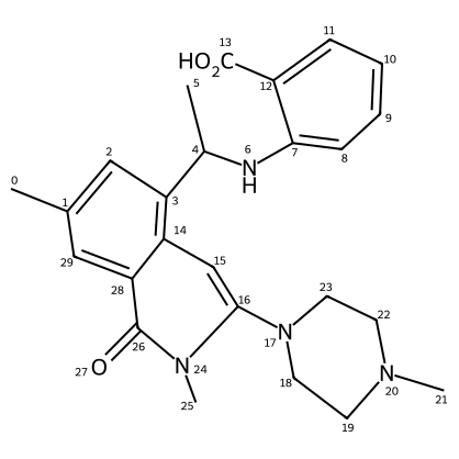 Cc1cc(C(C)Nc2ccccc2C(=O)O)c2cc(N3CCN(C)CC3)n(C)c(=O)c2c1